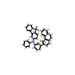 CC1(C)c2ccccc2-c2cc(N(c3ccccc3)c3cccc4c3sc3c4ccc4ccc5ccccc5c43)ccc21